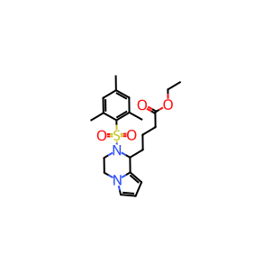 CCOC(=O)CCCC1c2cccn2CCN1S(=O)(=O)c1c(C)cc(C)cc1C